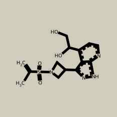 C=C(C)S(=O)(=O)N1CC(c2n[nH]c3nccc(C(O)CO)c23)C1